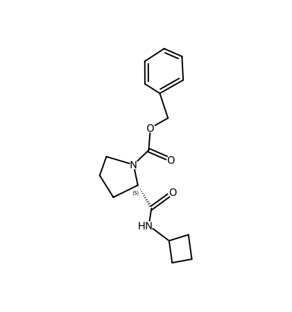 O=C(NC1CCC1)[C@@H]1CCCN1C(=O)OCc1ccccc1